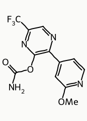 COc1cc(-c2ncc(C(F)(F)F)nc2OC(N)=O)ccn1